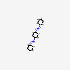 c1ccc(/N=N/c2ccc(/N=N/c3ccccc3)cc2)cc1